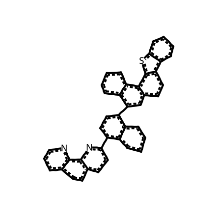 c1cnc2c(c1)ccc1ccc(-c3ccc(-c4cc5ccc6c7ccccc7sc6c5c5ccccc45)c4ccccc34)nc12